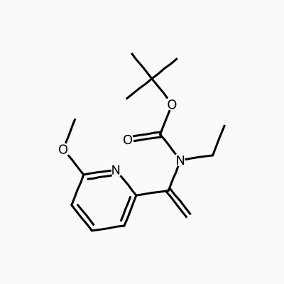 C=C(c1cccc(OC)n1)N(CC)C(=O)OC(C)(C)C